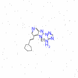 CCn1c(-n2ncnc2N)nc2cncc(C=CC3CCCCC3)c21